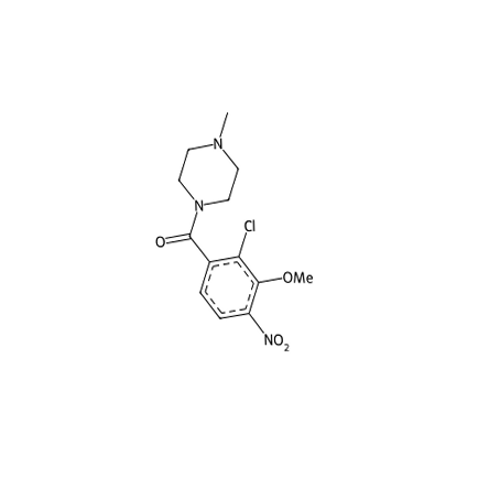 COc1c([N+](=O)[O-])ccc(C(=O)N2CCN(C)CC2)c1Cl